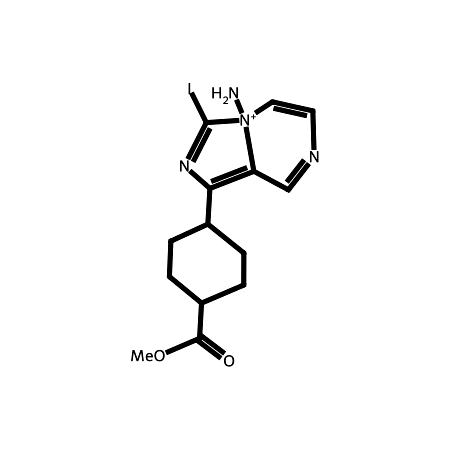 COC(=O)C1CCC(C2=C3C=NC=C[N+]3(N)C(I)=N2)CC1